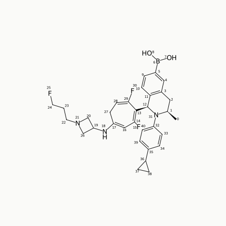 C[C@@H]1Cc2cc(B(O)O)ccc2[C@H](C2=C(F)C=C(NC3CN(CCCF)C3)CC=C2F)N1c1ccc(C2CC2)cc1